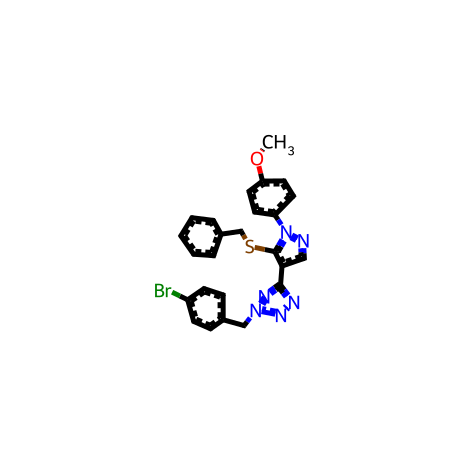 COc1ccc(-n2ncc(-c3nnn(Cc4ccc(Br)cc4)n3)c2SCc2ccccc2)cc1